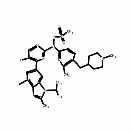 Cc1nc(N(OS(C)(=O)=O)c2ncc(F)c(-c3cc(F)c4nc(C)n(C(C)C)c4c3)n2)ccc1CC1CCN(C)CC1